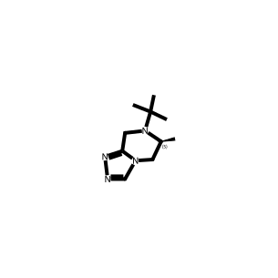 C[C@H]1Cn2cnnc2CN1C(C)(C)C